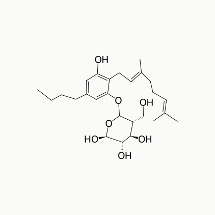 CCCCc1cc(O)c(C/C=C(\C)CCC=C(C)C)c(OC2O[C@H](O)[C@@H](O)[C@H](O)[C@H]2CO)c1